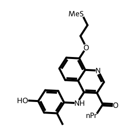 CCCC(=O)c1cnc2c(OCCSC)cccc2c1Nc1ccc(O)cc1C